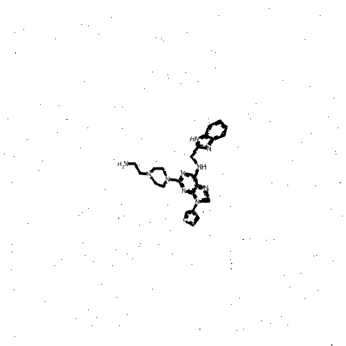 NCCN1CCN(c2nc(NCc3nc4ccccc4[nH]3)c3ncn(-c4ccsc4)c3n2)CC1